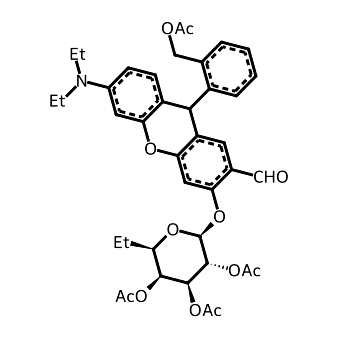 CC[C@H]1O[C@@H](Oc2cc3c(cc2C=O)C(c2ccccc2COC(C)=O)c2ccc(N(CC)CC)cc2O3)[C@H](OC(C)=O)[C@@H](OC(C)=O)[C@H]1OC(C)=O